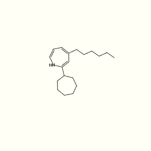 CCCCCCC1=CC=CNC(C2CCCCCC2)=C1